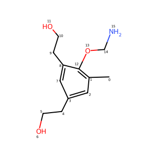 Cc1cc(CCO)cc(CCO)c1OCN